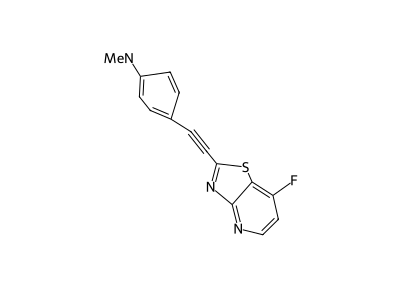 CNc1ccc(C#Cc2nc3nccc(F)c3s2)cc1